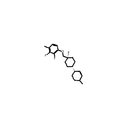 Cc1ccc(OC[C@]2(F)CC[C@@H](C3CCC(C)CC3)CC2)c(F)c1F